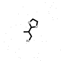 CC(=O)CC(C)C1OCCO1